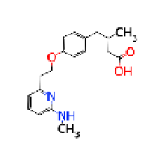 CNc1cccc(CCOc2ccc(CC(C)CC(=O)O)cc2)n1